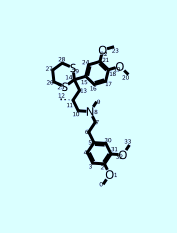 COc1ccc(CCN(C)C[C@H](C)CC2(c3ccc(OC)c(OC)c3)SCCCS2)cc1OC